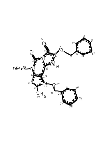 CCCn1c(=O)n2c(=O)n(OCc3ccccc3)nc2c2c1nc(C)n2OCc1ccccc1